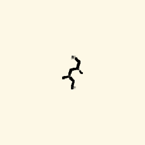 CC(=O)C[C@H](C)CN(C)CC(C)C